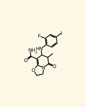 CC1C(=O)N2CCOC2=C(C(N)=O)C1Nc1ccc(I)cc1F